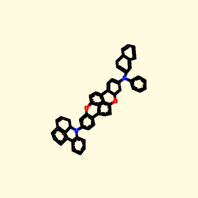 C1=CCC(N(c2ccc3c(c2)Oc2ccc4c5c(ccc-3c25)OC2CC(N(C3=CCC5C=CC=CC5=C3)c3ccccc3)=CC=C42)c2ccccc2-c2ccccc2)C=C1